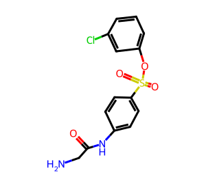 NCC(=O)Nc1ccc(S(=O)(=O)Oc2cccc(Cl)c2)cc1